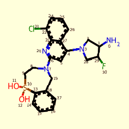 NC1CN(c2cc(N3CCS(O)(O)c4ccccc4C3)nc3c(Cl)cccc23)CC1F